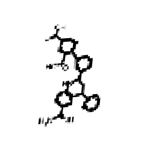 N=C(N)c1ccc2c(c1)C(c1ccccc1)CC(c1cccc(-c3ccc(C(=O)O)cc3C(=O)O)c1)N2